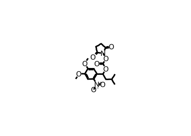 COc1cc(C(CC(C)C)OC(=O)ON2C(=O)CCC2=O)c([N+](=O)[O-])cc1OC